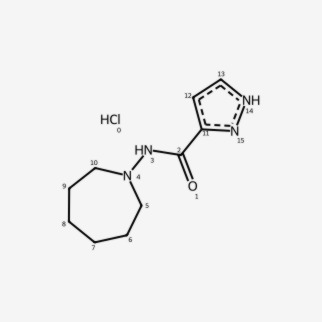 Cl.O=C(NN1CCCCCC1)c1cc[nH]n1